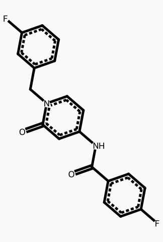 O=C(Nc1ccn(Cc2cccc(F)c2)c(=O)c1)c1ccc(F)cc1